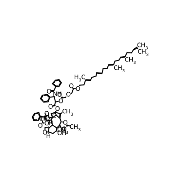 CC(=O)O[C@H]1C(=O)[C@@]2(C)[C@H](C(CC(=O)c3ccccc3)[C@]3(O)CC4(OC(=O)C(OC(=O)COCC(=O)OCC/C(C)=C/CC/C=C/CC/C=C(\C)CC/C=C(\C)CCC=C(C)C)[C@@H](NC(=O)c5ccccc5)c5ccccc5)C(C)=C1[C@@]43C)[C@]1(OC(C)=O)CO[C@@H]1C[C@@H]2O